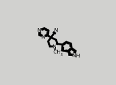 CN1CCC(C#N)(c2ccncn2)CC1c1ccc2c[nH]cc2c1